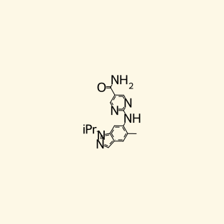 Cc1cc2cnn(C(C)C)c2cc1Nc1ncc(C(N)=O)cn1